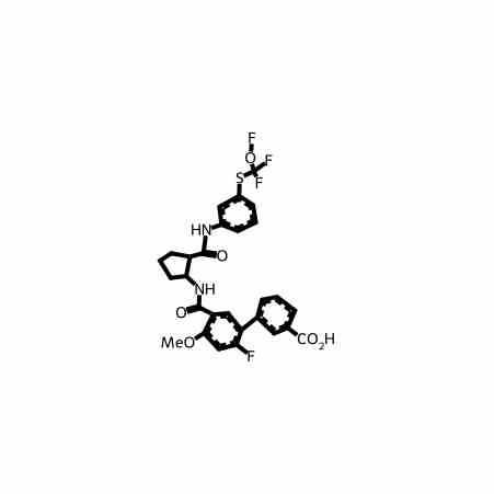 COc1cc(F)c(-c2cccc(C(=O)O)c2)cc1C(=O)NC1CCCC1C(=O)Nc1cccc(SC(F)(F)OF)c1